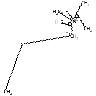 CCCCCCCCC1=C(c2cc(CCCC)cc(CCCC)c2)[N+](=[N-])C(c2cc(CCCCCCCC)cc(CCCCCCCC)c2)=C1CCCC.CCCCCCCCCCCCCCCCCCCCCCCCCCCCC[CH2][Ni][CH2]CCCCCCCCCCCCCCCCCCCCCCCCCCCCC